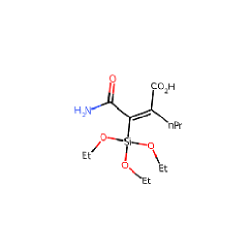 CCCC(C(=O)O)=C(C(N)=O)[Si](OCC)(OCC)OCC